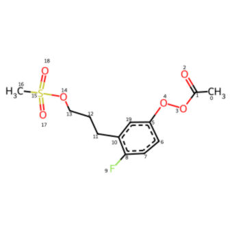 CC(=O)OOc1ccc(F)c(CCCOS(C)(=O)=O)c1